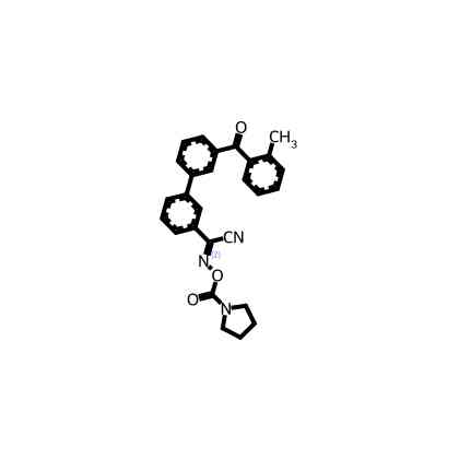 Cc1ccccc1C(=O)c1cccc(-c2cccc(/C(C#N)=N/OC(=O)N3CCCC3)c2)c1